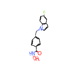 O=C(NO)c1ccc(Cn2ccc3cc(F)ccc32)cc1